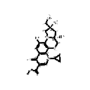 COC(=O)c1cn(C2CC2)c2c3c(c(F)cc2c1=O)N1C[C@](O)(CO)C[C@H]1CO3